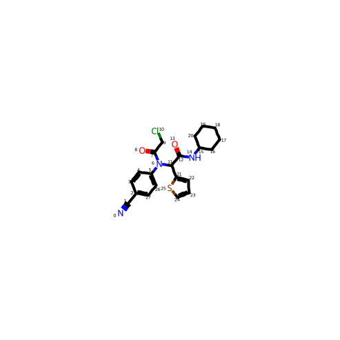 N#Cc1ccc(N(C(=O)CCl)C(C(=O)NC2CCCCC2)c2cccs2)cc1